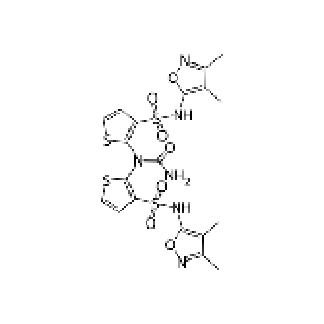 Cc1noc(NS(=O)(=O)c2ccsc2N(C(N)=O)c2sccc2S(=O)(=O)Nc2onc(C)c2C)c1C